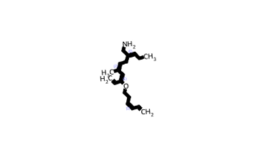 C=C/C=C\CCO/C(C=C)=C/C(C)=C\C/C(=C\CC)CN